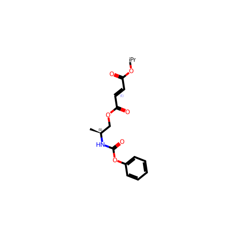 CC(C)OC(=O)/C=C/C(=O)OC[C@H](C)NC(=O)Oc1ccccc1